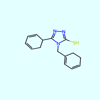 Sc1nnc(C2C=CC=CC2)n1CC1=CC=CCC1